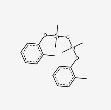 Cc1ccccc1[O][Sn]([CH3])([CH3])[O][Sn]([CH3])([CH3])[O]c1ccccc1C